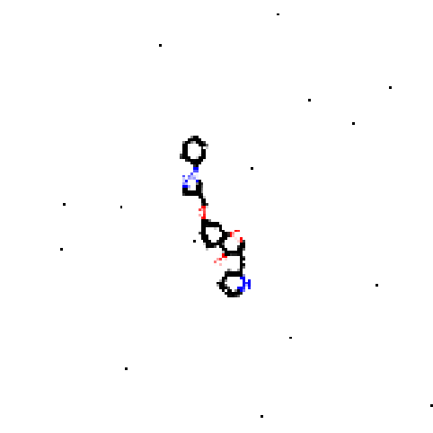 O=c1c(Cc2ccccn2)coc2cc(OCc3cnn(-c4ccccc4)c3)ccc12